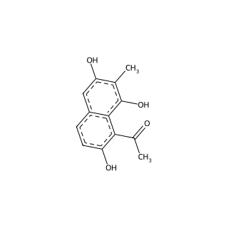 CC(=O)c1c(O)ccc2cc(O)c(C)c(O)c12